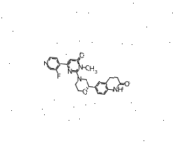 Cn1c(N2CCOC(c3ccc4c(c3)CCC(=O)N4)C2)nc(-c2ccncc2F)cc1=O